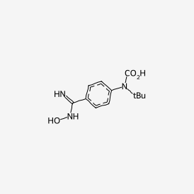 CC(C)(C)N(C(=O)O)c1ccc(C(=N)NO)cc1